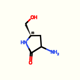 NC1C[C@@H](CO)NC1=O